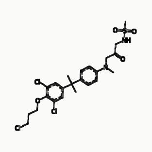 CN(CC(=O)CNS(C)(=O)=O)c1ccc(C(C)(C)c2cc(Cl)c(OCCCCl)c(Cl)c2)cc1